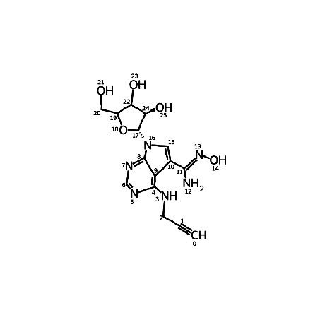 C#CCNc1ncnc2c1c(/C(N)=N/O)cn2[C@@H]1OC(CO)C(O)[C@H]1O